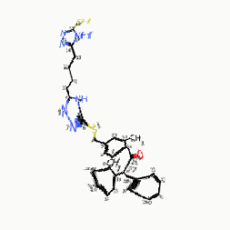 Cc1cc(CSc2nnc(CCCCc3nnc(S)[nH]3)[nH]2)cc(C)c1C(=O)C(c1ccccc1)c1ccccc1